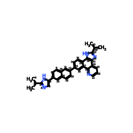 CC(C)c1ncc(-c2ccc3cc(-c4ccc5c(c4)c4ncccc4c4nc(C(C)C)[nH]c54)ccc3c2)[nH]1